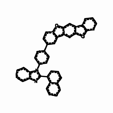 c1ccc2c(-c3nc4ccccc4n3-c3ccc(-c4ccc5oc6cc7c(cc6c5c4)oc4ccccc47)cc3)cccc2c1